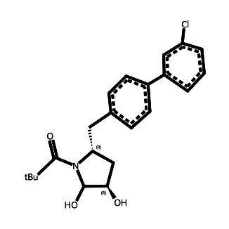 CC(C)(C)C(=O)N1C(O)[C@H](O)C[C@H]1Cc1ccc(-c2cccc(Cl)c2)cc1